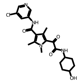 Cc1c(C(=O)Nc2cncc(Cl)c2)c(C)n(C)c1C(=O)C(=O)NC1CCC(O)CC1